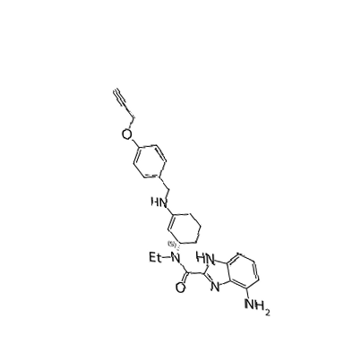 C#CCOc1ccc(CNC2=C[C@@H](N(CC)C(=O)c3nc4c(N)cccc4[nH]3)CCC2)cc1